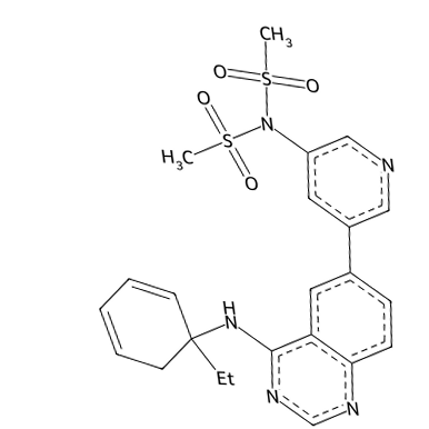 CCC1(Nc2ncnc3ccc(-c4cncc(N(S(C)(=O)=O)S(C)(=O)=O)c4)cc23)C=CC=CC1